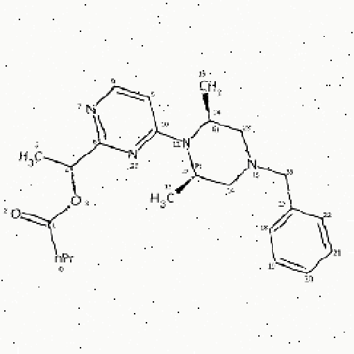 CCCC(=O)OC(C)c1nccc(N2[C@H](C)CN(Cc3ccccc3)C[C@@H]2C)n1